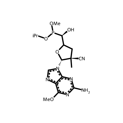 COc1nc(N)nc2c1ncn2[C@@H]1OC([C@H](O)P(OC)OC(C)C)C[C@@]1(C)C#N